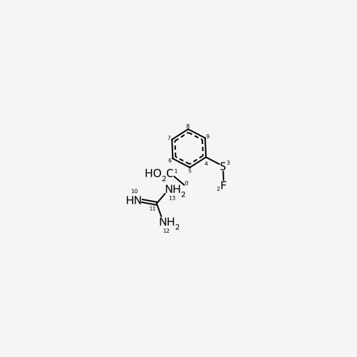 CC(=O)O.FSc1ccccc1.N=C(N)N